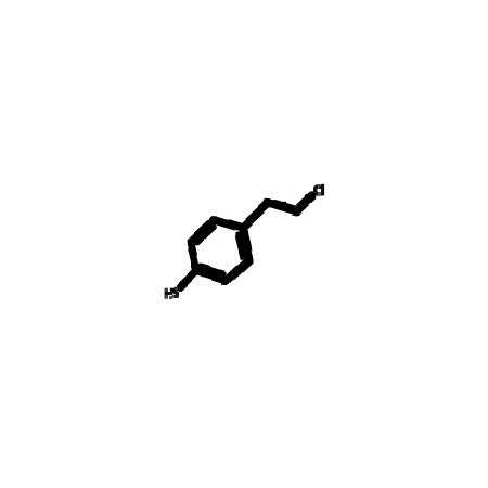 Sc1ccc(CCCl)cc1